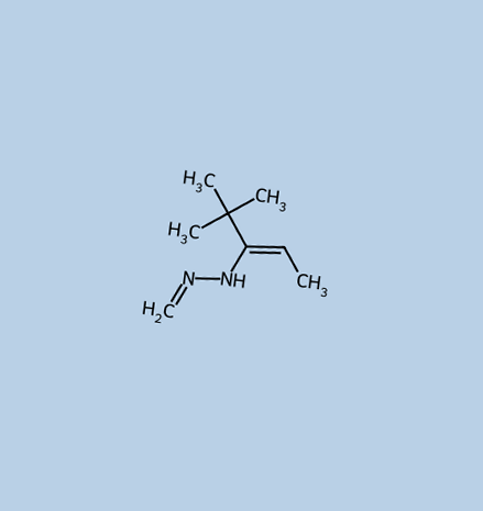 C=NN/C(=C\C)C(C)(C)C